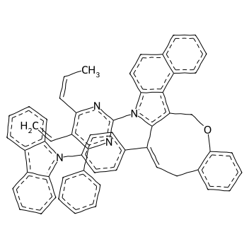 C=Cc1c(/C=C\C)nc(-n2c3c(c4c5ccccc5ccc42)COc2ccccc2C/C=C\3c2ccc(-n3c4ccccc4c4ccccc43)cc2)nc1-c1ccccc1